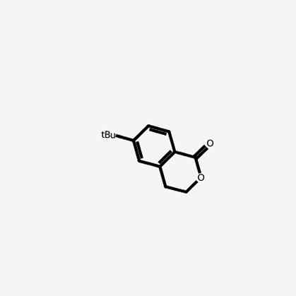 CC(C)(C)c1ccc2c(c1)CCOC2=O